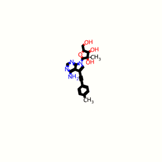 Cc1ccc(C#Cc2cn(C3OC(CO)C(O)[C@@]3(C)O)c3ncnc(N)c23)cc1